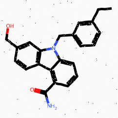 CCc1cccc(Cn2c3cc(CO)c[c]c3c3c(C(N)=O)cccc32)c1